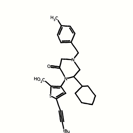 Cc1ccc(CN2CC(=O)N(c3cc(C#CC(C)(C)C)sc3C(=O)O)C(C3CCCCC3)C2)cc1